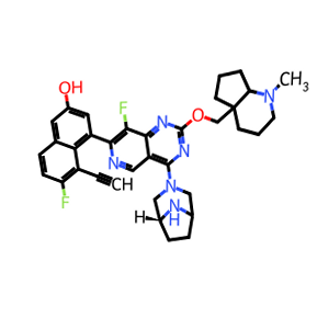 C#Cc1c(F)ccc2cc(O)cc(-c3ncc4c(N5CC6CC[C@H](C5)N6)nc(OCC56CCCC5N(C)CCC6)nc4c3F)c12